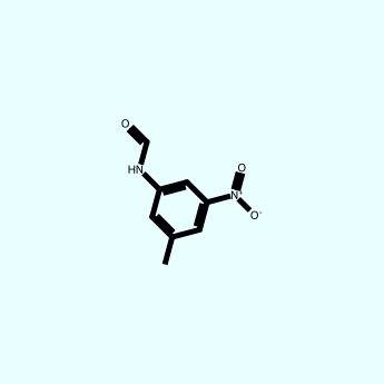 Cc1cc(NC=O)cc([N+](=O)[O-])c1